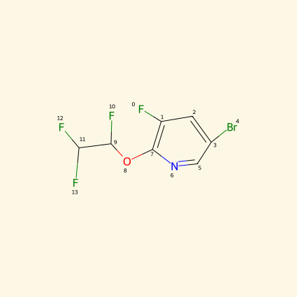 Fc1cc(Br)cnc1OC(F)C(F)F